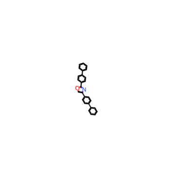 c1ccc(-c2ccc(-c3coc(-c4ccc(-c5ccccc5)cc4)n3)cc2)cc1